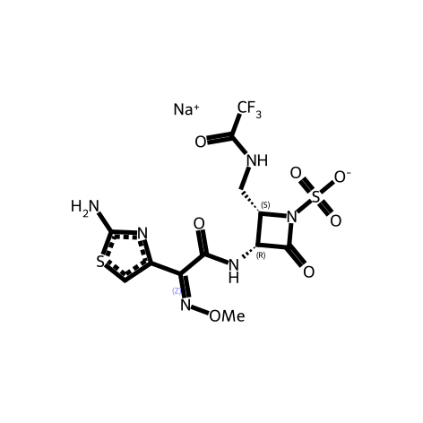 CO/N=C(\C(=O)N[C@H]1C(=O)N(S(=O)(=O)[O-])[C@H]1CNC(=O)C(F)(F)F)c1csc(N)n1.[Na+]